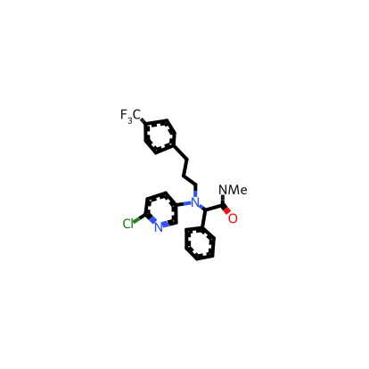 CNC(=O)C(c1ccccc1)N(CCCc1ccc(C(F)(F)F)cc1)c1ccc(Cl)nc1